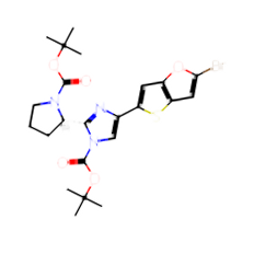 CC(C)(C)OC(=O)N1CCC[C@H]1c1nc(-c2cc3oc(Br)cc3s2)cn1C(=O)OC(C)(C)C